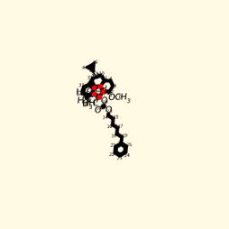 COC12CCC3(CC1C(C)(OC(=O)OCCCCCCc1ccccc1)C(C)(C)C)C1Cc4ccc(O)c5c4C3(CCN1C1CC1)C2O5